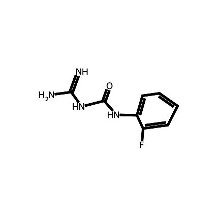 N=C(N)NC(=O)Nc1ccccc1F